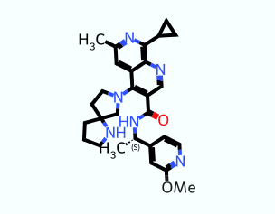 COc1cc([C@H](C)NC(=O)c2cnc3c(C4CC4)nc(C)cc3c2N2CCC3(CCCN3)C2)ccn1